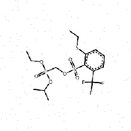 CCOP(=O)(COS(=O)(=O)c1c(SCC)cccc1C(F)(F)F)OC(C)C